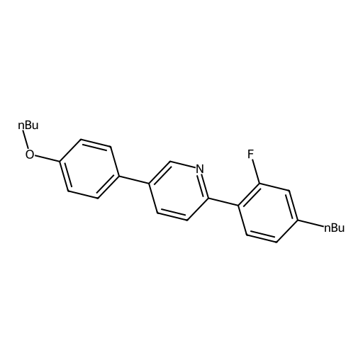 CCCCOc1ccc(-c2ccc(-c3ccc(CCCC)cc3F)nc2)cc1